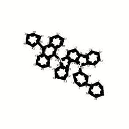 c1ccc(-c2cccc(-n3c4ccccc4c4ccc5c(c6ccccc6n5-c5c6ccccc6c(-c6ccccc6)c6ccccc56)c43)c2)cc1